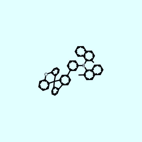 Cc1ccc2ccccc2c1B(c1cccc(-c2ccc3c(c2)C2(c4ccccc4Oc4ccccc42)c2ccccc2-3)c1)c1c(C)ccc2ccccc12